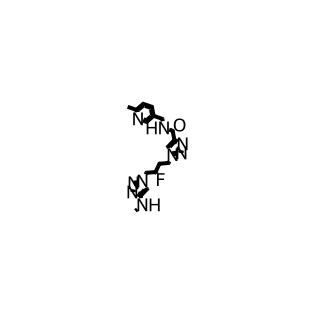 CNc1cn(CC(F)CCn2cc(C(=O)NCc3ccc(C)nc3)nn2)nn1